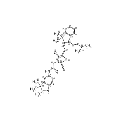 CC1=Nc2ccc(NC(=O)CN3C(=O)/C(=C\C=C4/N(CCC(C)C)c5ccccc5C4(C)C)SC3=S)cc2C1(C)C